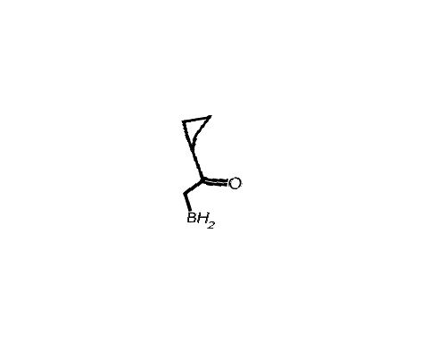 BCC(=O)C1CC1